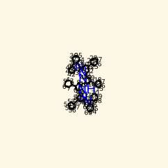 C1=C(c2ccccc2)C=C(c2cc(-c3ccccc3)cc(-c3cc(-c4ccccc4)cc(-n4c5ccccc5c5ccccc54)n3)n2)NC1c1cc(-c2ccccc2)cc(-n2c3ccccc3c3ccccc32)n1